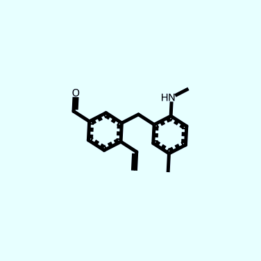 C=Cc1ccc(C=O)cc1Cc1cc(C)ccc1NC